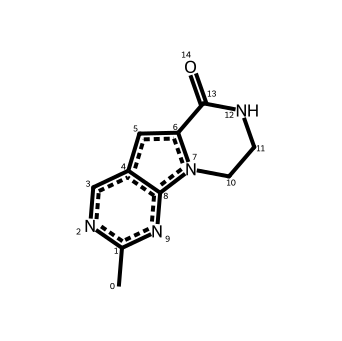 Cc1ncc2cc3n(c2n1)CCNC3=O